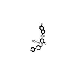 O=C(O)O[C@@H]1CN(S(=O)(=O)c2ccc3cc(Cl)ccc3c2)CC(=O)N1CC1CCN(c2ccncc2)CC1